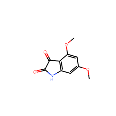 COc1cc2c(c(OC)c1)C(=O)C(=O)N2